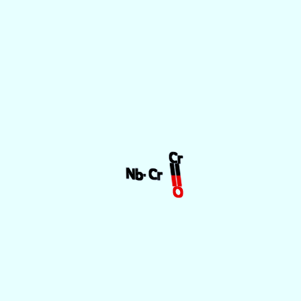 [Cr].[Nb].[O]=[Cr]